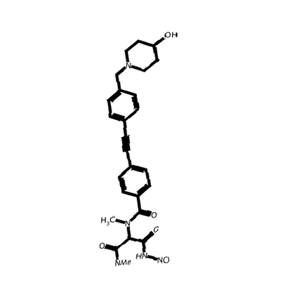 CNC(=O)C(C(=O)NN=O)N(C)C(=O)c1ccc(C#Cc2ccc(CN3CCC(O)CC3)cc2)cc1